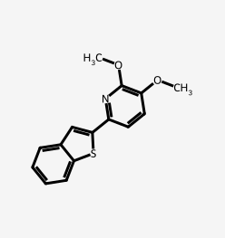 COc1ccc(-c2cc3ccccc3s2)nc1OC